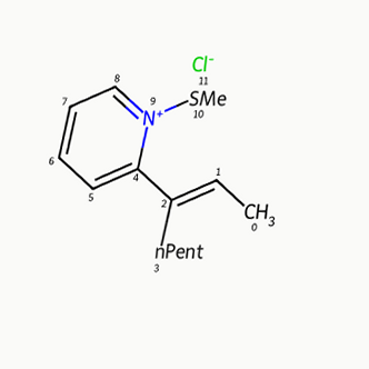 CC=C(CCCCC)c1cccc[n+]1SC.[Cl-]